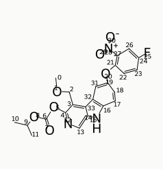 COCc1c(OC(=O)OC(C)C)ncc2[nH]c3ccc(Oc4ccc(F)cc4[N+](=O)[O-])cc3c12